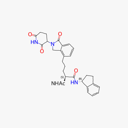 CC(=O)N[C@@H](CCCc1cccc2c1CN(C1CCC(=O)NC1=O)C2=O)C(=O)N[C@@H]1CCc2ccccc21